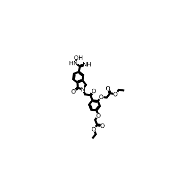 CCOC(=O)COc1ccc(C(=O)CN2Cc3cc(C(=N)NO)ccc3C2=O)c(OCC(=O)OCC)c1